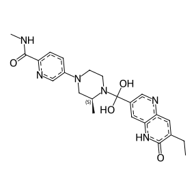 CCc1cc2ncc(C(O)(O)N3CCN(c4ccc(C(=O)NC)nc4)C[C@@H]3C)cc2[nH]c1=O